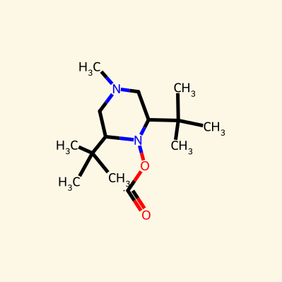 CN1CC(C(C)(C)C)N(O[C]=O)C(C(C)(C)C)C1